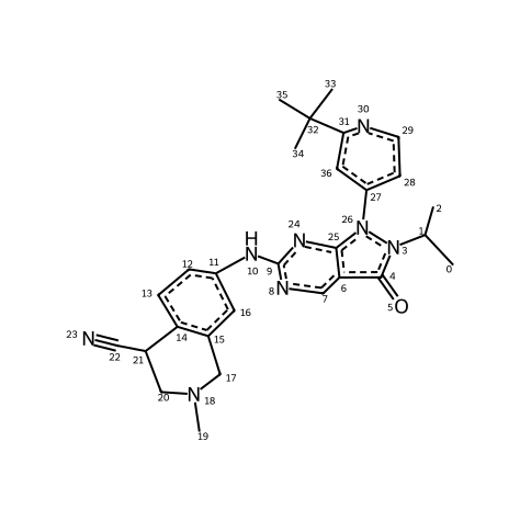 CC(C)n1c(=O)c2cnc(Nc3ccc4c(c3)CN(C)CC4C#N)nc2n1-c1ccnc(C(C)(C)C)c1